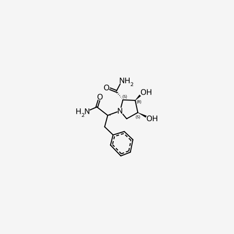 NC(=O)[C](Cc1ccccc1)N1C[C@H](O)[C@H](O)[C@H]1C(N)=O